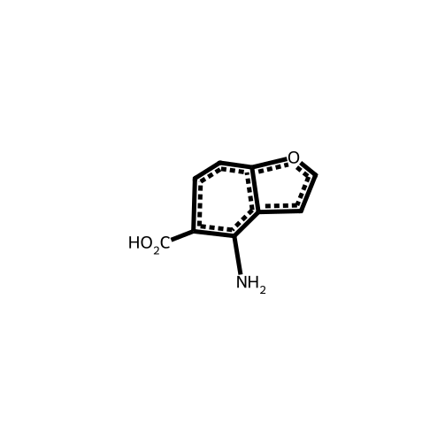 Nc1c(C(=O)O)ccc2occc12